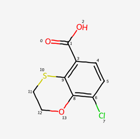 O=C(O)c1ccc(Cl)c2c1SCCO2